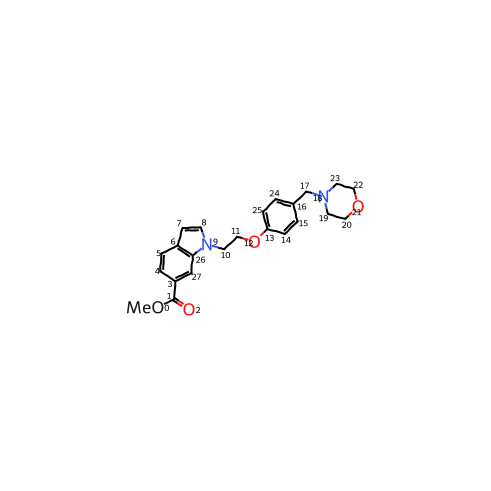 COC(=O)c1ccc2ccn(CCOc3ccc(CN4CCOCC4)cc3)c2c1